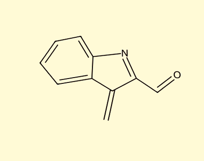 C=C1C(C=O)=Nc2ccccc21